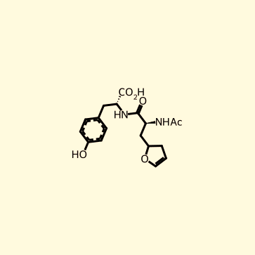 CC(=O)N[C@@H](CC1CC=CO1)C(=O)N[C@H](Cc1ccc(O)cc1)C(=O)O